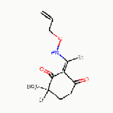 C=CCON/C(CC)=C1/C(=O)CCC(CC)(C(=O)OCC)C1=O